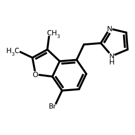 Cc1oc2c(Br)ccc(Cc3ncc[nH]3)c2c1C